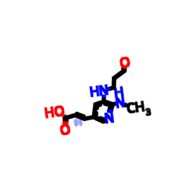 CNc1ncc(/C=C/C(=O)O)cc1NCCC=O